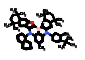 Cc1cc2c3c(c1)N(C1CC=C(C(C)(C)C)C(C)C1)c1cc4c(cc1B3c1oc3cc5c(cc3c1N2c1cccc2ccccc12)C(C)(C)CCC5(C)C)C(C)(C)CCC4(C)C